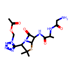 CC(=O)OCn1nnnc1C1N2C(=O)C(NC(=O)C(C)NC(=O)CN)C2SC1(C)C